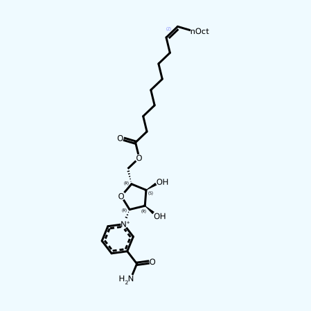 CCCCCCCC/C=C\CCCCCCCC(=O)OC[C@H]1O[C@@H]([n+]2cccc(C(N)=O)c2)[C@H](O)[C@@H]1O